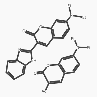 CCN(CC)c1ccc2cc(-c3nc4ccccc4[nH]3)c(=O)oc2c1.CCN(CC)c1ccc2cc(C(C)=O)c(=O)oc2c1